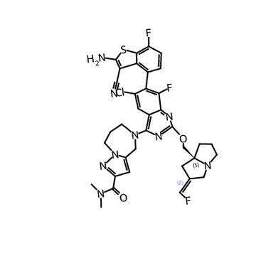 CN(C)C(=O)c1cc2n(n1)CCCN(c1nc(OC[C@@]34CCCN3C/C(=C\F)C4)nc3c(F)c(-c4ccc(F)c5sc(N)c(C#N)c45)c(Cl)cc13)C2